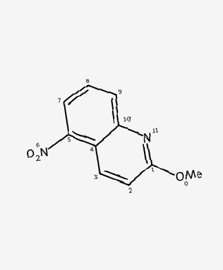 COc1ccc2c([N+](=O)[O-])cccc2n1